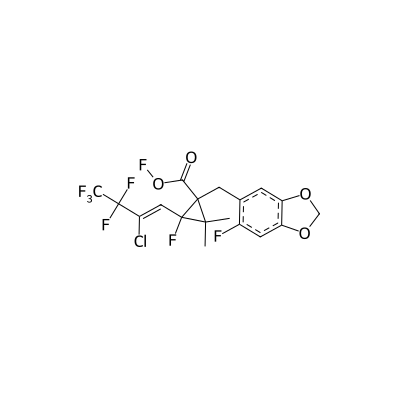 CC1(C)C(F)(C=C(Cl)C(F)(F)C(F)(F)F)C1(Cc1cc2c(cc1F)OCO2)C(=O)OF